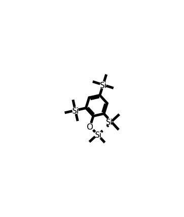 C[Si](C)(C)Oc1c([Si](C)(C)C)cc([Si](C)(C)C)cc1[Si](C)(C)C